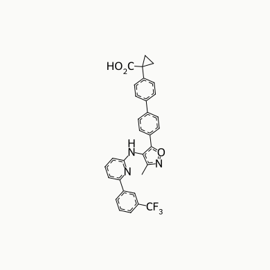 Cc1noc(-c2ccc(-c3ccc(C4(C(=O)O)CC4)cc3)cc2)c1Nc1cccc(-c2cccc(C(F)(F)F)c2)n1